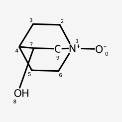 [O-][N+]12CCC(CC1)C(O)C2